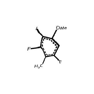 COc1cc(F)c(C)c(F)c1I